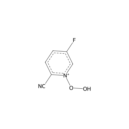 N#Cc1ccc(F)c[n+]1OO